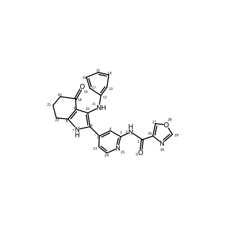 O=C(Nc1cc(-c2[nH]c3c(c2Nc2ccccc2)C(=O)CCC3)ccn1)c1cocn1